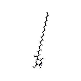 CCCCCCCCCCCCCCCCCCC(C)CC(C)/C=C(/C)C(=O)O